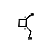 OC[C@@H]1CC[C@H]1S